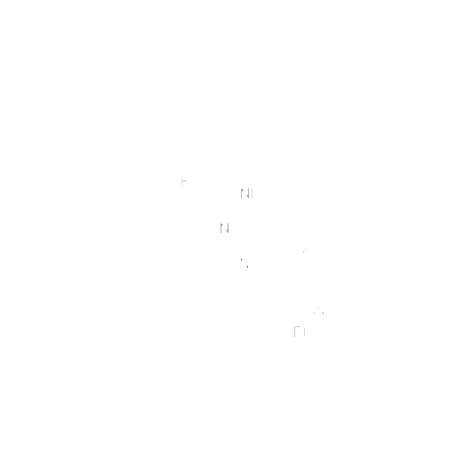 CCOc1csc(-c2cc(NCCc3ccc4ccccc4c3F)ncn2)c1